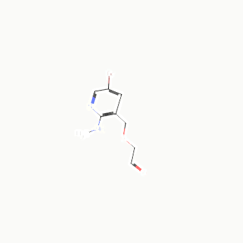 CNc1ncc(Br)cc1COCC=O